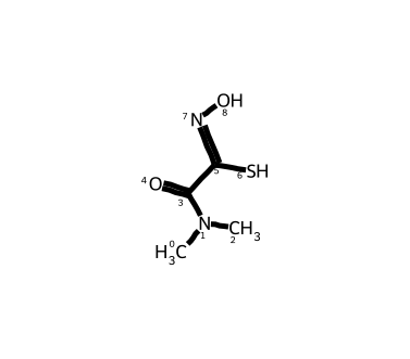 CN(C)C(=O)C(S)=NO